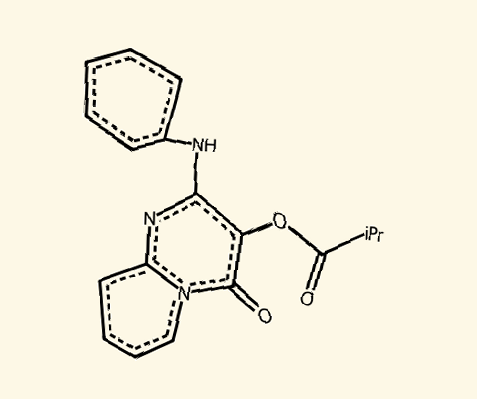 CC(C)C(=O)Oc1c(Nc2ccccc2)nc2ccccn2c1=O